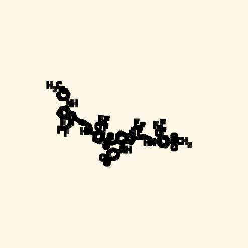 CN1CCC(Nc2cccc3c2cc(C#CCNc2ccc(S(=O)(=O)Cc4ccc5c(cc(C#CCNc6ccc(S(C)(=O)=O)cc6OC(F)(F)F)n5CC(F)(F)F)c4NC4CCS(=O)(=O)CC4)cc2OC(F)(F)F)n3CC(F)(F)F)CC1